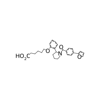 O=C(O)CCCCCOc1ccccc1C1CCCCN1C(=O)c1ccc(-c2ccco2)cc1